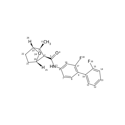 C[C@H]1[C@@H](C(=O)Nc2ccc(-c3ccccc3F)c(F)c2)[C@@H]2CC[C@H]1O2